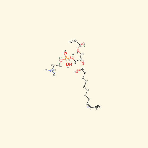 CCC/C=C\CCCCCCCC(=O)OC(COC(=O)CCCCCCCCCC)COP(=O)(O)OCCN(C)C